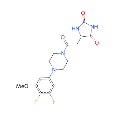 COc1cc(N2CCN(C(=O)CC3NC(=O)NC3=O)CC2)cc(F)c1F